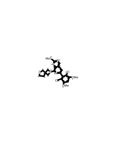 COc1cc(OC)c(Cl)c(-c2cc3cnc(SC)nc3c(N3CC4(CCOC4)C3)n2)c1Cl